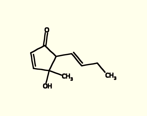 CCC=CC1C(=O)C=CC1(C)O